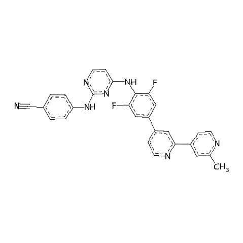 Cc1cc(-c2cc(-c3cc(F)c(Nc4ccnc(Nc5ccc(C#N)cc5)n4)c(F)c3)ccn2)ccn1